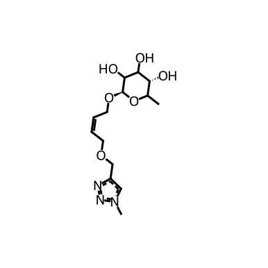 CC1O[C@@H](OC/C=C\COCc2cn(C)nn2)C(O)C(O)[C@@H]1O